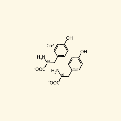 N[C@@H](Cc1ccc(O)cc1)C(=O)[O-].N[C@@H](Cc1ccc(O)cc1)C(=O)[O-].[Co+2]